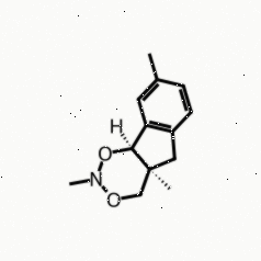 Cc1ccc2c(c1)[C@@H]1ON(C)OC[C@]1(C)C2